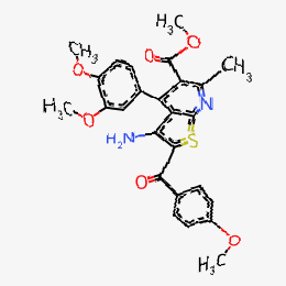 COC(=O)c1c(C)nc2sc(C(=O)c3ccc(OC)cc3)c(N)c2c1-c1ccc(OC)c(OC)c1